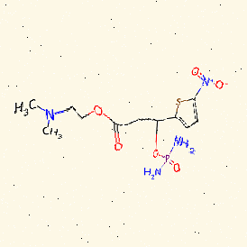 CN(C)CCOC(=O)CC(OP(N)(N)=O)c1ccc([N+](=O)[O-])s1